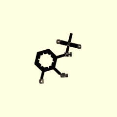 CC(C)(C)c1c(Cl)cccc1NS(C)(=O)=O